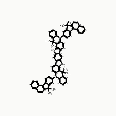 CC1(C)c2cc(N3c4ccccc4C(C)(C)c4c3ccc3c4oc4cc5c(cc43)oc3c4c(ccc35)N(c3ccc5c(c3)C(C)(C)c3ccc6ccccc6c3-5)c3ccccc3C4(C)C)ccc2-c2c1ccc1ccccc21